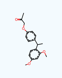 COc1ccc(C(C)c2ccc(OCC(C)=O)cc2)c(OC)c1